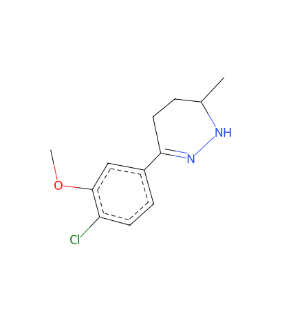 COc1cc(C2=NNC(C)CC2)ccc1Cl